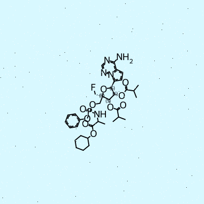 CC(C)C(=O)O[C@H]1[C@H](c2ccc3c(N)ncnn23)O[C@](CF)(COP(=O)(NC(C)C(=O)OC2CCCCC2)Oc2ccccc2)[C@H]1OC(=O)C(C)C